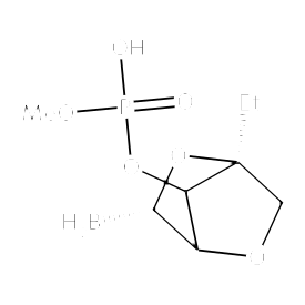 B[C@@H]1O[C@@]2(CC)COC1C2OP(=O)(O)OC